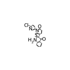 Nc1sc2c(ccc(=O)n2-c2ccc(Cl)nc2)c1C(=O)c1ccccc1